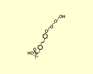 CC(C)(C)N(Cc1ccc(C=Cc2ccc(OCCOCCOCCO)cc2)cc1)C(=O)O